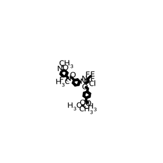 Cc1nc2cc(F)c(N(C)C(=O)c3cccc(-n4nc(C(F)(F)F)c(Cl)c4OCc4ccc(C(=O)OC(C)(C)C)cc4)c3)cc2o1